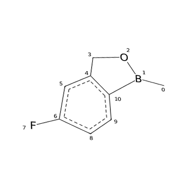 CB1OCc2cc(F)ccc21